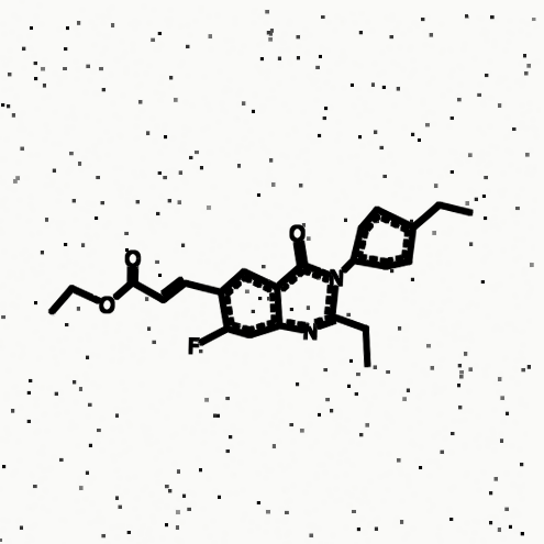 CCOC(=O)/C=C/c1cc2c(=O)n(-c3ccc(CC)cc3)c(CC)nc2cc1F